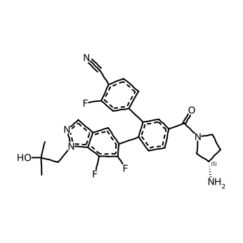 CC(C)(O)Cn1ncc2cc(-c3ccc(C(=O)N4CC[C@H](N)C4)cc3-c3ccc(C#N)c(F)c3)c(F)c(F)c21